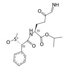 CC(C)OC(=O)[C@H](CCC(=O)C=N)NC(=O)[C@H](c1ccccc1)[S+](C)[O-]